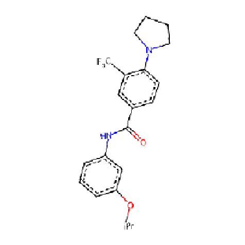 CC(C)Oc1cccc(NC(=O)c2ccc(N3CCCC3)c(C(F)(F)F)c2)c1